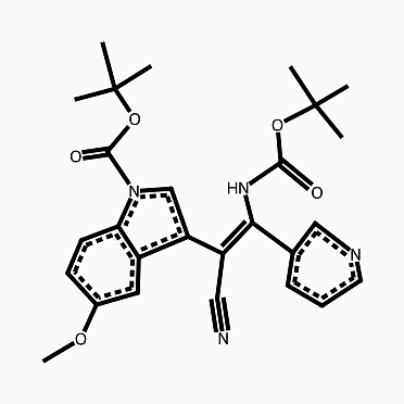 COc1ccc2c(c1)c(/C(C#N)=C(\NC(=O)OC(C)(C)C)c1cccnc1)cn2C(=O)OC(C)(C)C